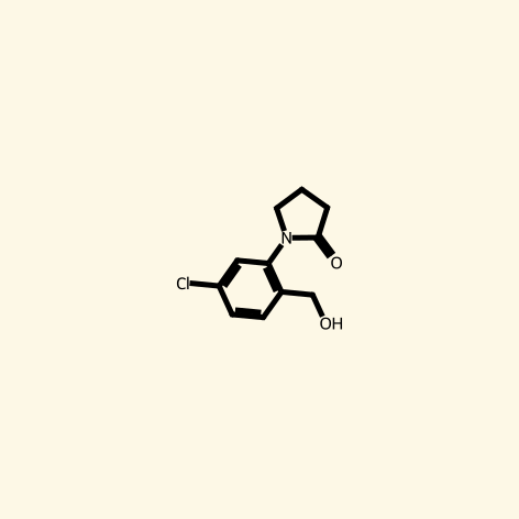 O=C1CCCN1c1cc(Cl)ccc1CO